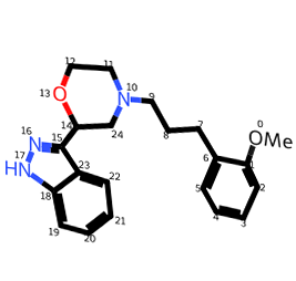 COc1ccccc1CCCN1CCOC(c2n[nH]c3ccccc23)C1